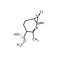 CO[C@H](O)C1CCC2[C@@H](Cl)[C@@H]2N=C1C